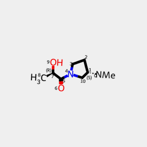 CN[C@H]1CCN(C(=O)[C@@H](C)O)C1